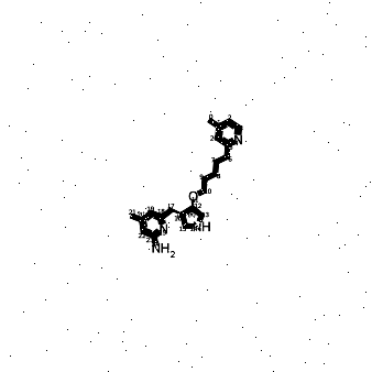 Cc1ccnc(CCCCCO[C@H]2CNC[C@H]2Cc2cc(C)cc(N)n2)c1